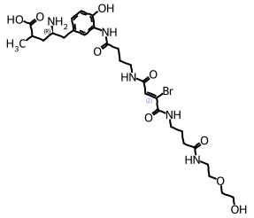 CC(C[C@@H](N)Cc1ccc(O)c(NC(=O)CCCNC(=O)/C=C(\Br)C(=O)NCCCC(=O)NCCOCCO)c1)C(=O)O